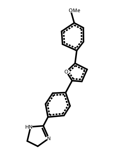 COc1ccc(-c2ccc(-c3ccc(C4=NCCN4)cc3)o2)cc1